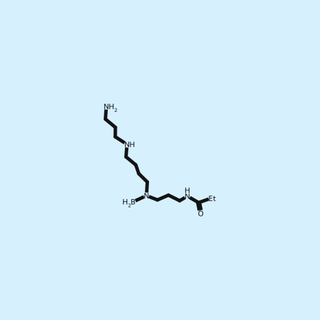 BN(CCCCNCCCN)CCCNC(=O)CC